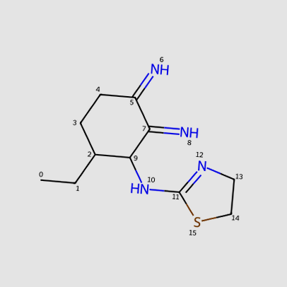 CCC1CCC(=N)C(=N)C1NC1=NCCS1